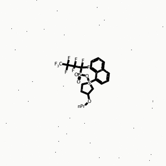 CCCOC1CCS(OS(=O)(=O)C(F)(F)C(F)(F)C(F)(F)C(F)(F)F)(c2cccc3ccccc23)C1